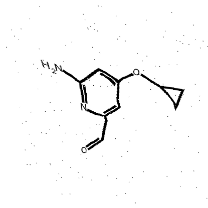 Nc1cc(OC2CC2)cc(C=O)n1